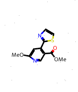 COC(=O)c1cnc(OC)cc1-c1nccs1